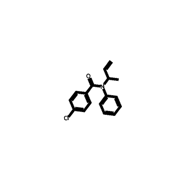 C=CC(C)N(C(=O)c1ccc(Cl)cc1)c1ccccc1